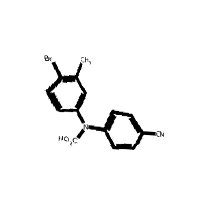 Cc1cc(N(C(=O)O)c2ccc(C#N)cc2)ccc1Br